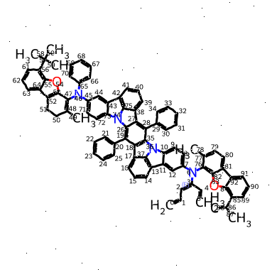 C=C/C=C(\C=C)N(c1ccc2c(c1)c1cccc3c4c(-c5ccccc5)c5c(c(-c6ccccc6)c4n2c13)c1cccc2c3cc(N(C4=C(C)CCc6c4oc4c(C(C)(C)C)cccc64)c4ccccc4)ccc3n5c21)c1c(C)ccc2c1oc1c(C(C)C)cccc12